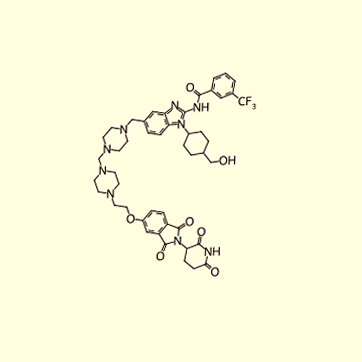 O=C1CCC(N2C(=O)c3ccc(OCCN4CCN(CN5CCN(Cc6ccc7c(c6)nc(NC(=O)c6cccc(C(F)(F)F)c6)n7C6CCC(CO)CC6)CC5)CC4)cc3C2=O)C(=O)N1